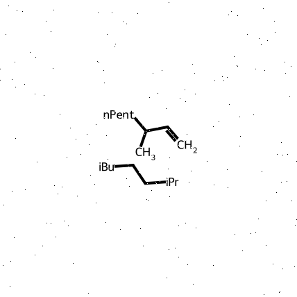 C=CC(C)CCCCC.CCC(C)CCC(C)C